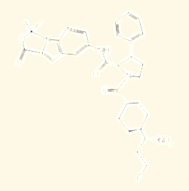 CC1(C)OC(=O)c2cc3cc(NC(=O)[C@@H]4[C@H](c5ccccc5)CCN4C(=O)[C@H]4CC[C@H]([C@H](N)CCF)CC4)ccc3n21